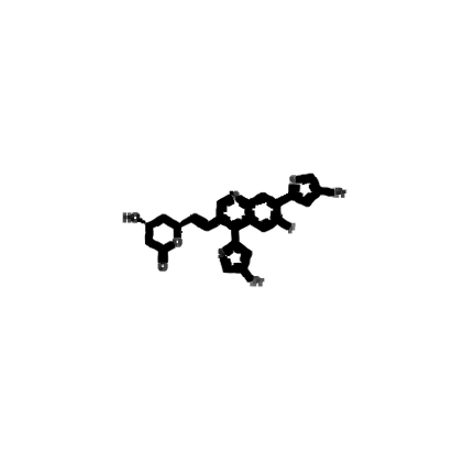 CC(C)c1csc(-c2cc3ncc(C=C[C@@H]4C[C@@H](O)CC(=O)O4)c(-c4cc(C(C)C)cs4)c3cc2F)c1